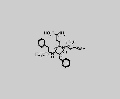 CSCC[C@@H](C(=O)O)N(N[C@@H](Cc1ccccc1)C(=O)N[C@@H](Cc1ccccc1)C(=O)O)C(=O)CC[C@H](N)C(=O)O